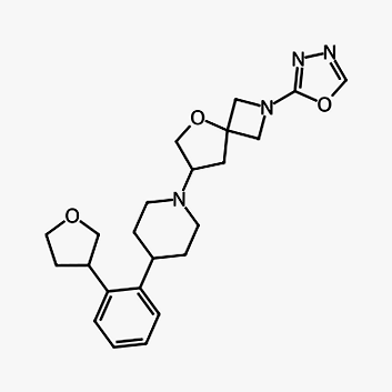 c1ccc(C2CCOC2)c(C2CCN(C3COC4(C3)CN(c3nnco3)C4)CC2)c1